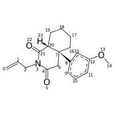 C=CCN1C(=O)C[C@@]2(c3cccc(OC)c3)CCCC[C@H]2C1=O